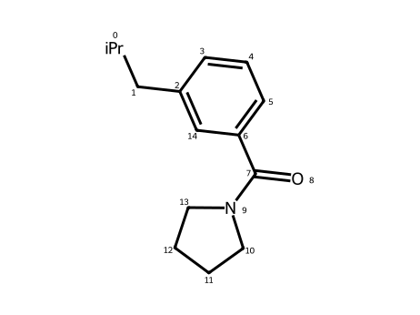 CC(C)Cc1cccc(C(=O)N2CCCC2)c1